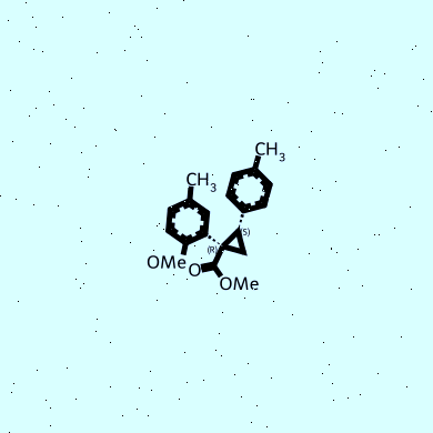 COC(=O)[C@]1(c2cc(C)ccc2OC)C[C@H]1c1ccc(C)cc1